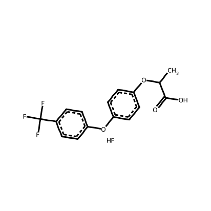 CC(Oc1ccc(Oc2ccc(C(F)(F)F)cc2)cc1)C(=O)O.F